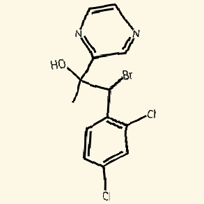 CC(O)(c1cnccn1)C(Br)c1ccc(Cl)cc1Cl